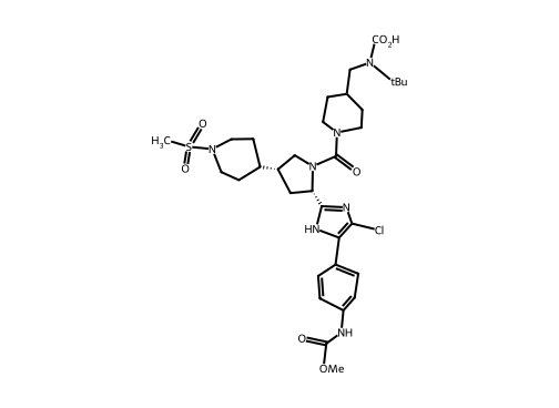 COC(=O)Nc1ccc(-c2[nH]c([C@@H]3C[C@H](C4CCN(S(C)(=O)=O)CC4)CN3C(=O)N3CCC(CN(C(=O)O)C(C)(C)C)CC3)nc2Cl)cc1